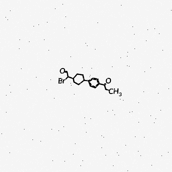 CCC(=O)c1ccc(C2CCC(C(Br)C=O)CC2)cc1